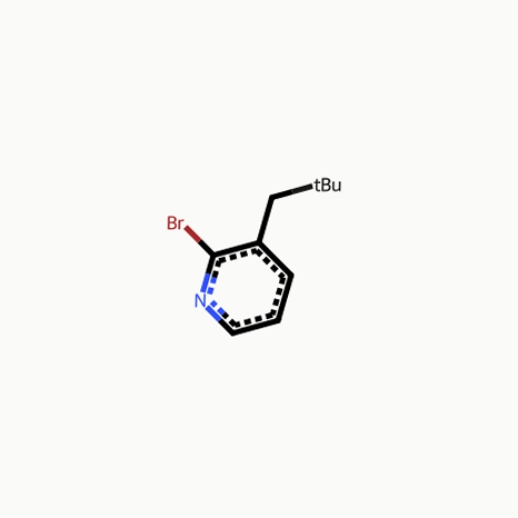 CC(C)(C)Cc1cccnc1Br